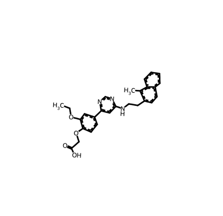 CCOc1cc(-c2cc(NCCc3ccc4ccccc4c3C)ncn2)ccc1OCC(=O)O